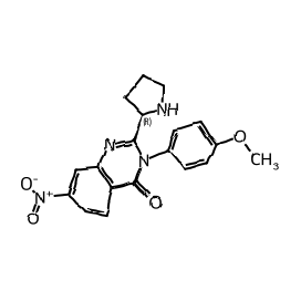 COc1ccc(-n2c([C@H]3CCCN3)nc3cc([N+](=O)[O-])ccc3c2=O)cc1